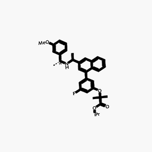 COc1cccc([C@@H](C)NC(C)c2cc(-c3cc(F)cc(OC(C)(C)C(=O)OC(C)C)c3)c3ccccc3c2)c1